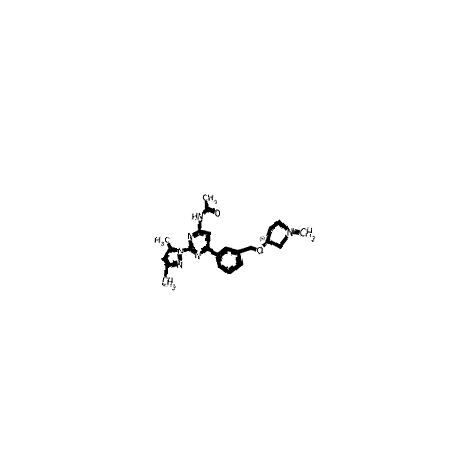 CC(=O)Nc1cc(-c2cccc(CO[C@H]3CCN(C)C3)c2)nc(-n2nc(C)cc2C)n1